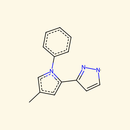 Cc1cc(C2=N[N]C=C2)n(-c2ccccc2)c1